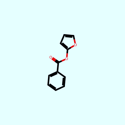 O=C(Oc1c[c]co1)c1ccccc1